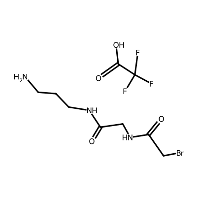 NCCCNC(=O)CNC(=O)CBr.O=C(O)C(F)(F)F